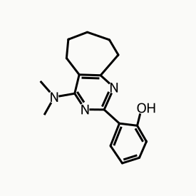 CN(C)c1nc(-c2ccccc2O)nc2c1CCCCC2